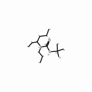 CCCC(CC)N(CCC)C(=O)OC(C)(C)C